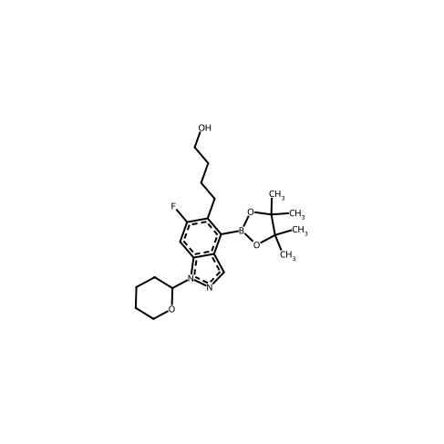 CC1(C)OB(c2c(CCCCO)c(F)cc3c2cnn3C2CCCCO2)OC1(C)C